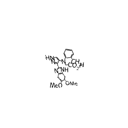 COc1cc2nc(-c3n[nH]cc3N(CC(=O)O)c3ccccc3C)[nH]c2cc1OC